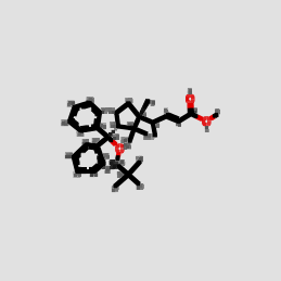 COC(=O)C=CC(C)[C@@]1(C)CC[C@@H](C(O[SiH2]C(C)(C)C)(c2ccccc2)c2ccccc2)C1(C)C